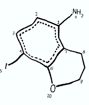 Nc1ccc(I)c2c1CCO2